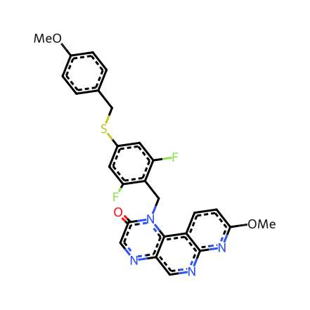 COc1ccc(CSc2cc(F)c(Cn3c(=O)cnc4cnc5nc(OC)ccc5c43)c(F)c2)cc1